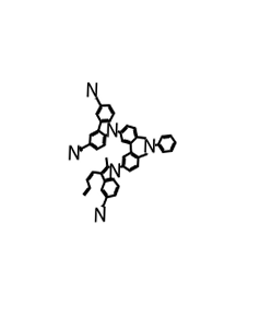 C=C/C=C\c1c(C)n(-c2ccc3c(c2)-c2cc(-n4c5ccc(C#N)cc5c5cc(C#N)ccc54)ccc2CN(c2ccccc2)C3)c2ccc(C#N)cc12